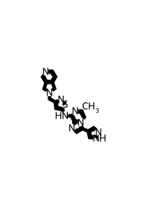 Cc1cn2c(-c3cn[nH]c3)cnc2c(Nc2cc(CN3Cc4ccncc4C3)ns2)n1